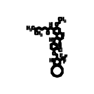 CCOc1cc2ncc(C#N)c(Nc3ccc(OCC4NCC5(CCCCCCCCC5)CC4C(F)(F)F)c(Cl)c3)c2cc1NC(=O)CCCN(C)C